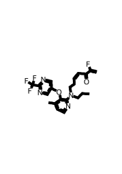 C=C(F)C(=O)/C=C\CCN(CCC)c1nccc(C)c1Oc1cnc(C(F)(F)F)nc1